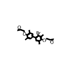 Cc1cc(-c2cc(C)c(OCC3CO3)c(C)c2Br)cc(C)c1OCC1CO1